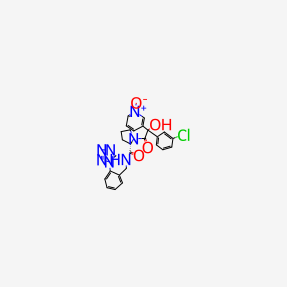 O=C(NCc1ccccc1-n1cnnn1)[C@@H]1CCCN1C(=O)C(O)(c1cccc(Cl)c1)c1ccc[n+]([O-])c1